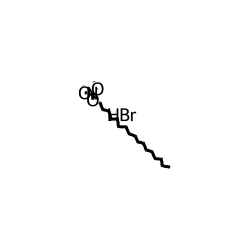 Br.CCCCCCCCCCCCCCCCCON(OC)OC